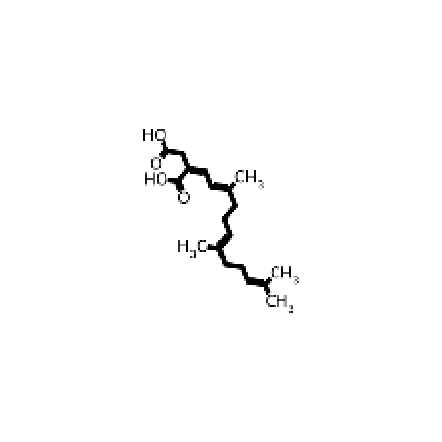 CC(C)=CCCC(C)=CCCC(C)=CC=C(CC(=O)O)C(=O)O